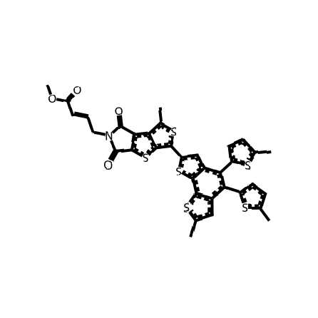 COC(=O)C=CCN1C(=O)c2sc3c(-c4cc5c(-c6ccc(C)s6)c(-c6ccc(C)s6)c6cc(C)sc6c5s4)sc(C)c3c2C1=O